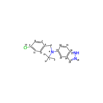 CC(C)(C)N(Cc1ccc(Cl)cc1)c1ccc2[nH]ncc2c1